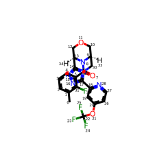 Cc1cccc(C(=O)N2[C@H]3COC[C@@H]2c2nnc(-c4cc(OC(F)(F)F)ccn4)n2C3)c1F